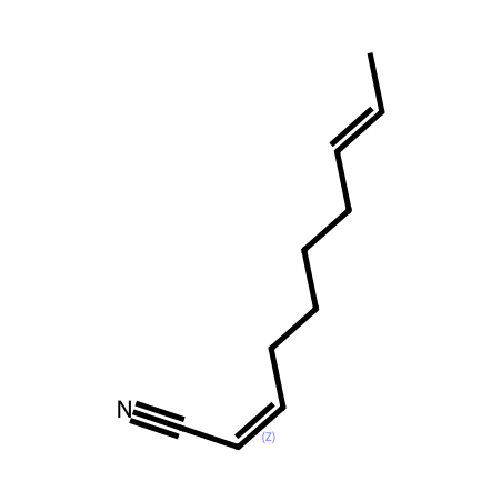 CC=CCCCC/C=C\C#N